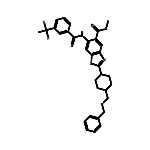 COC(=O)c1cc2nc(C3CCC(COCc4ccccc4)CC3)sc2cc1NC(=O)c1cccc(C(C)(F)F)c1